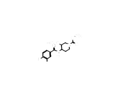 CC(C)(C)OC(=O)N1CCC(NC(=O)c2ccc(F)c(F)c2)C(C(=O)O)C1